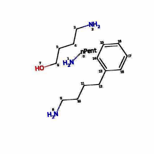 CCCCCN.NCCCCO.NCCCCc1ccccc1